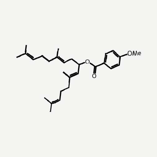 COc1ccc(C(=O)OC(/C=C(\C)CCC=C(C)C)C/C=C(\C)CCC=C(C)C)cc1